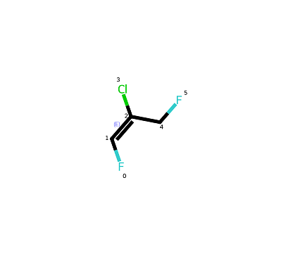 F/C=C(/Cl)CF